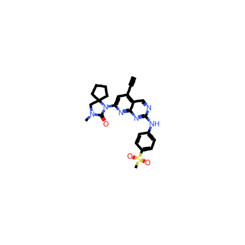 C#Cc1cc(N2C(=O)N(C)CC23CCCC3)nc2nc(Nc3ccc(S(C)(=O)=O)cc3)ncc12